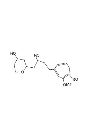 COC1=C(N=O)CC=CC(CCC(CC2CC(O)CCO2)N=O)=C1